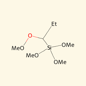 CCC(OOC)[Si](OC)(OC)OC